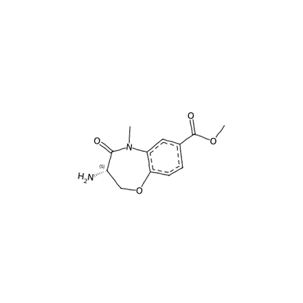 COC(=O)c1ccc2c(c1)N(C)C(=O)[C@@H](N)CO2